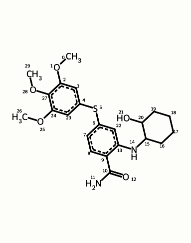 COc1cc(Sc2ccc(C(N)=O)c(NC3CCCCC3O)c2)cc(OC)c1OC